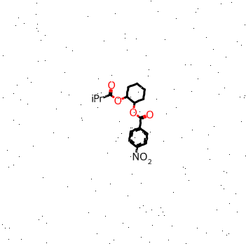 CC(C)C(=O)OC1CCCCC1OC(=O)c1ccc([N+](=O)[O-])cc1